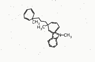 Cn1c2c(c3ccccc31)=CC(C)(CCCC1(C)C=CC=CC=C1)C=CC=2